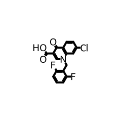 O=C(O)c1cn(Cc2c(F)cccc2F)c2cc(Cl)ccc2c1=O